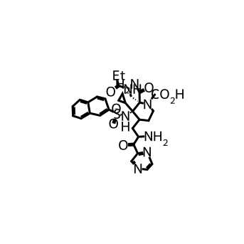 CCC(=O)NC[C@]1(C(N)=O)N(C(=O)O)CCC(CC(N)C(=O)c2cnccn2)[C@@]1(NS(=O)(=O)c1ccc2ccccc2c1)C1CC1